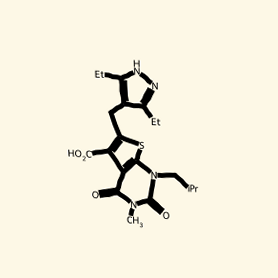 CCc1n[nH]c(CC)c1Cc1sc2c(c1C(=O)O)c(=O)n(C)c(=O)n2CC(C)C